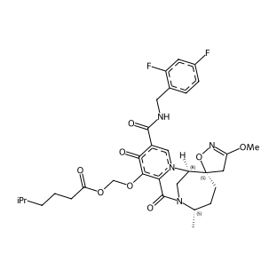 COC1=NO[C@@]2(CC[C@H](C)N3C[C@H]2n2cc(C(=O)NCc4ccc(F)cc4F)c(=O)c(OCOC(=O)CCCC(C)C)c2C3=O)C1